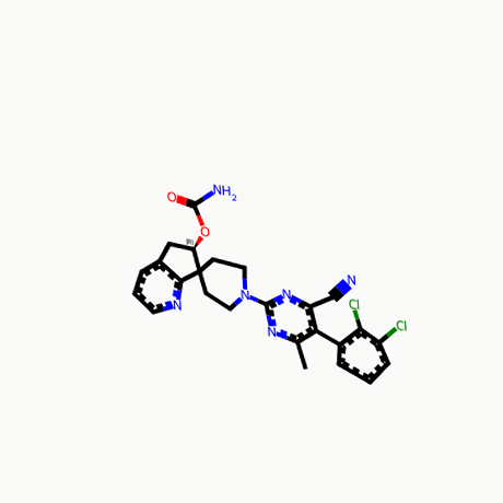 Cc1nc(N2CCC3(CC2)c2ncccc2C[C@H]3OC(N)=O)nc(C#N)c1-c1cccc(Cl)c1Cl